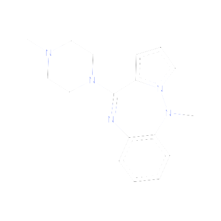 CN1CCN(C2=Nc3ccccc3N(C)n3cccc32)CC1